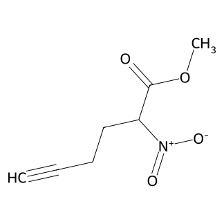 C#CCCC(C(=O)OC)[N+](=O)[O-]